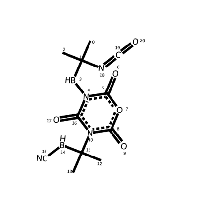 CC(C)(Bn1c(=O)oc(=O)n(C(C)(C)BC#N)c1=O)N=C=O